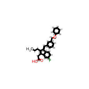 CCCC1=C(CC(=O)O)c2cc(F)ccc2/C1=C\c1cccc(COc2ccccc2)c1